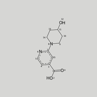 O=C(O)c1ccnc(N2CCC(O)CC2)c1